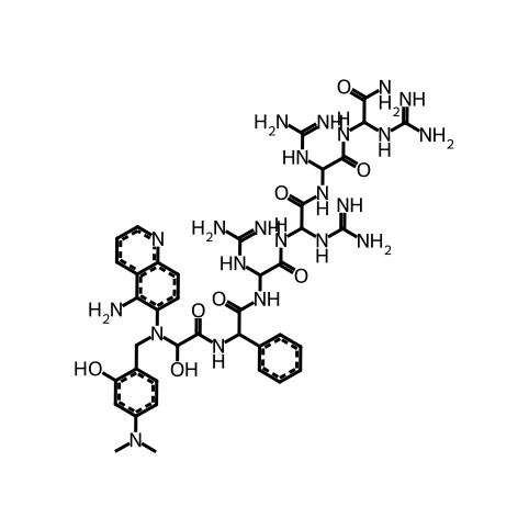 CN(C)c1ccc(CN(c2ccc3ncccc3c2N)C(O)C(=O)NC(C(=O)NC(NC(=N)N)C(=O)NC(NC(=N)N)C(=O)NC(NC(=N)N)C(=O)NC(NC(=N)N)C(N)=O)c2ccccc2)c(O)c1